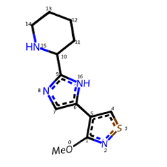 COc1nscc1-c1cnc(C2CCCCN2)[nH]1